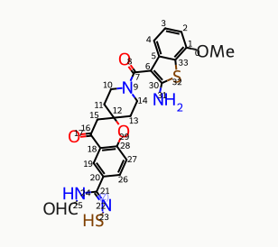 COc1cccc2c(C(=O)N3CCC4(CC3)CC(=O)c3cc(/C(=N/S)NC=O)ccc3O4)c(N)sc12